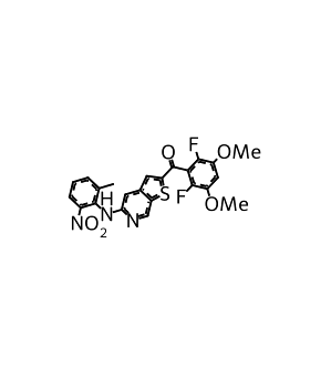 COc1cc(OC)c(F)c(C(=O)c2cc3cc(Nc4c(C)cccc4[N+](=O)[O-])ncc3s2)c1F